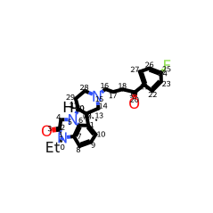 CCN1C(=O)CN2c3c1cccc3[C@]1(C)CN(CCCC(=O)c3ccc(F)cc3)CC[C@H]21